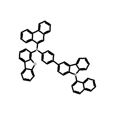 c1ccc2c(-n3c4ccccc4c4cc(-c5ccc(N(c6cc7ccccc7c7ccccc67)c6cccc7c6oc6ccccc67)cc5)ccc43)cccc2c1